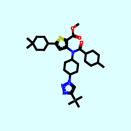 COC(=O)c1sc(C2CCC(C)(C)CC2)cc1N(C(=O)C1CCC(C)CC1)C1CCC(n2cc([Si](C)(C)C)nn2)CC1